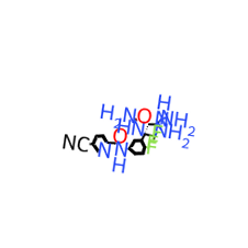 N#Cc1ccc(C(=O)Nc2ccc(F)c([C@@](C[C@H](N)NN)(NC(N)=O)C(F)F)c2)nc1